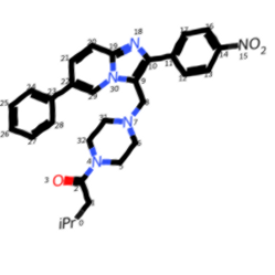 CC(C)CC(=O)N1CCN(Cc2c(-c3ccc([N+](=O)[O-])cc3)nc3ccc(-c4ccccc4)cn23)CC1